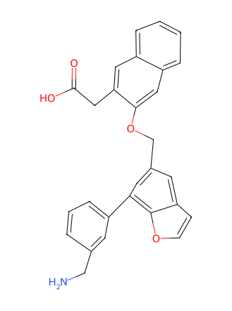 NCc1cccc(-c2cc(COc3cc4ccccc4cc3CC(=O)O)cc3ccoc23)c1